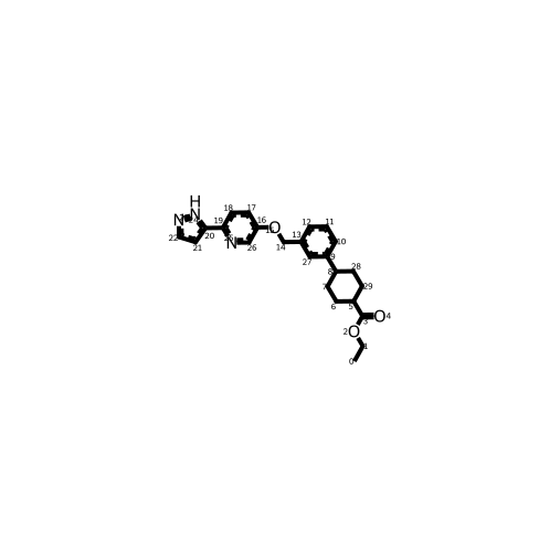 CCOC(=O)C1CCC(c2cccc(COc3ccc(-c4ccn[nH]4)nc3)c2)CC1